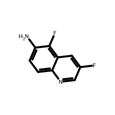 Nc1ccc2ncc(F)cc2c1F